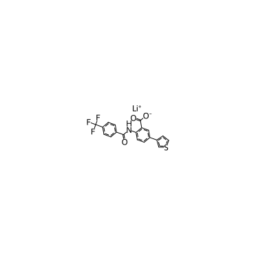 O=C(Nc1ccc(-c2ccsc2)cc1C(=O)[O-])c1ccc(C(F)(F)F)cc1.[Li+]